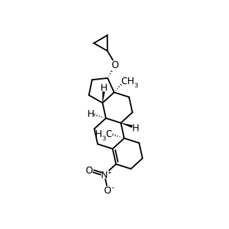 C[C@]12CC[C@H]3[C@@H](CCC4=C([N+](=O)[O-])CCC[C@@]43C)[C@@H]1CC[C@@H]2OC1CC1